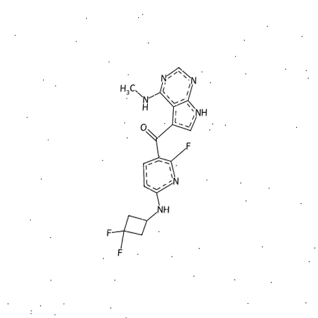 CNc1ncnc2[nH]cc(C(=O)c3ccc(NC4CC(F)(F)C4)nc3F)c12